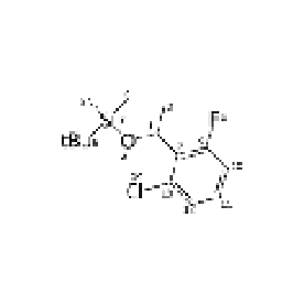 CC(O[Si](C)(C)C(C)(C)C)c1c(F)cccc1Cl